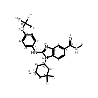 CNC(=O)c1ccc2c(c1)nc(Nc1ccc(OC(F)(F)F)cc1)n2[C@@H]1C[C@@H](C)CC(C)(C)C1